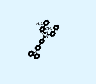 Cc1ccccc1-c1cccc(-c2nc(-c3ccc(-c4ccc(-n5c6ccccc6c6ccccc65)cc4)cc3)nc(-c3cccc(-c4ccccc4)c3)n2)c1C